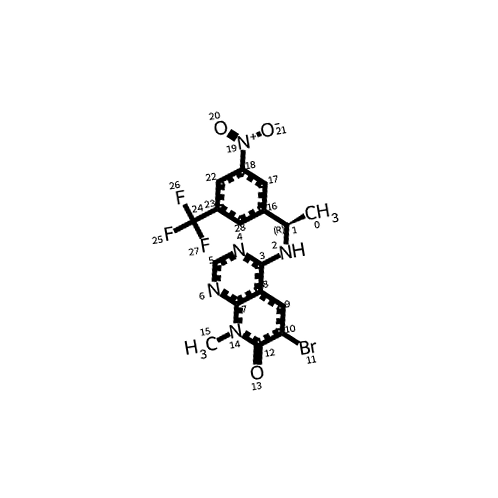 C[C@@H](Nc1ncnc2c1cc(Br)c(=O)n2C)c1cc([N+](=O)[O-])cc(C(F)(F)F)c1